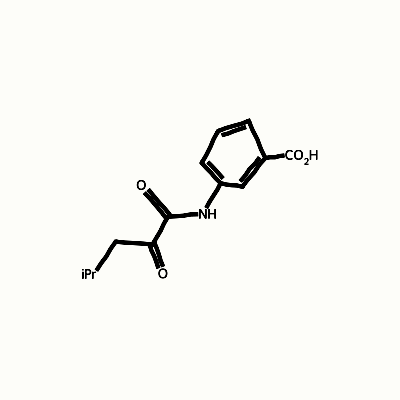 CC(C)CC(=O)C(=O)Nc1cccc(C(=O)O)c1